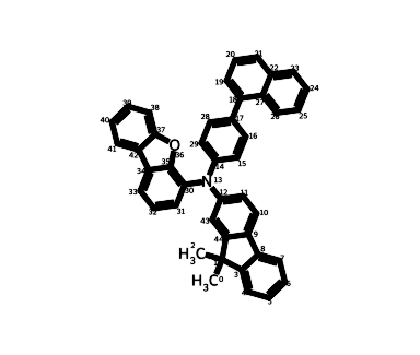 CC1(C)c2ccccc2-c2ccc(N(c3ccc(-c4cccc5ccccc45)cc3)c3cccc4c3oc3ccccc34)cc21